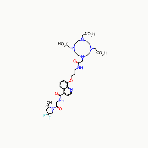 N#C[C@@H]1CC(F)(F)CN1C(=O)CNC(=O)c1ccnc2c(OCCCNC(=O)CN3CCN(CC(=O)O)CCN(CC(=O)O)CCN(CC(=O)O)CC3)cccc12